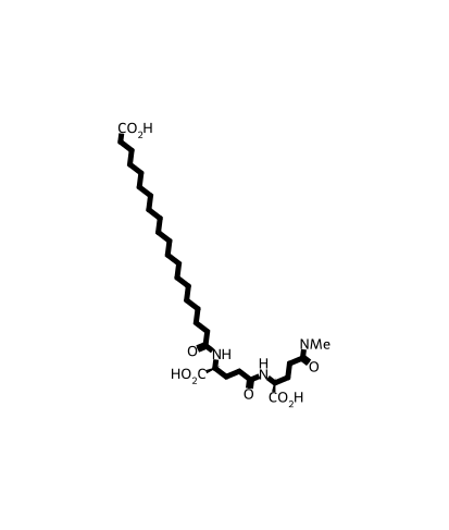 CNC(=O)CC[C@H](NC(=O)CC[C@H](NC(=O)CCCCCCCCCCCCCCCCCCC(=O)O)C(=O)O)C(=O)O